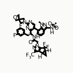 Cn1nc(NS(C)(=O)=O)c2cccc(-c3cnc(N4CC5(COC5)C4)nc3[C@H](Cc3cc(F)cc(F)c3)NC(=O)Cn3nc(C(F)(F)F)c4c3C(F)(F)[C@@H]3C[C@H]43)c21